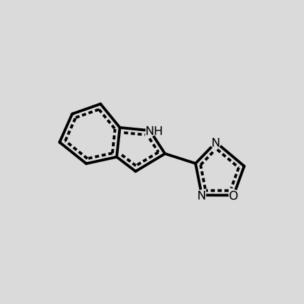 c1ccc2[nH]c(-c3ncon3)cc2c1